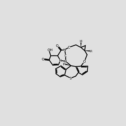 O=C1C=CN2C(C(=O)N3CC[C@@H]4C[C@@H]4COc4cccc5c4[C@H](c4ccccc4SC5)N2C3)C1O